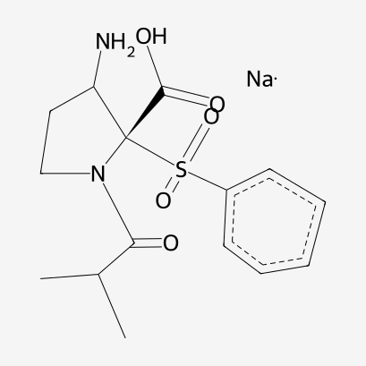 CC(C)C(=O)N1CCC(N)[C@]1(C(=O)O)S(=O)(=O)c1ccccc1.[Na]